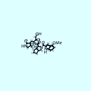 COc1cccc2[nH]c(C(=O)N3CC4CCCC4C3C(=O)NC(CC3C(=O)NCC3C)C(=O)CO)cc12